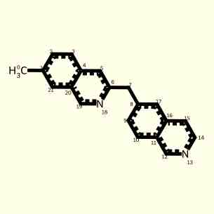 Cc1ccc2cc(Cc3ccc4cnccc4c3)ncc2c1